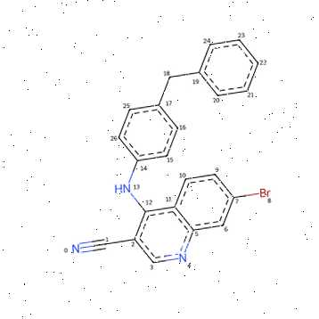 N#Cc1cnc2cc(Br)ccc2c1Nc1ccc(Cc2ccccc2)cc1